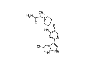 CC(C(N)=O)N1CCC[C@H](Nc2nc(-c3c[nH]c4c3=CC(Cl)CN=4)ncc2F)C1